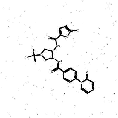 CC(C)(O)N1C[C@H](NC(=O)c2ccc(-n3ccccc3=O)cc2)[C@H](NC(=O)c2ccc(Cl)s2)C1